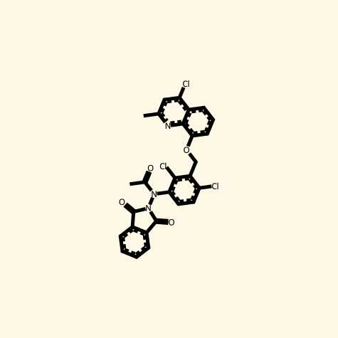 CC(=O)N(c1ccc(Cl)c(COc2cccc3c(Cl)cc(C)nc23)c1Cl)N1C(=O)c2ccccc2C1=O